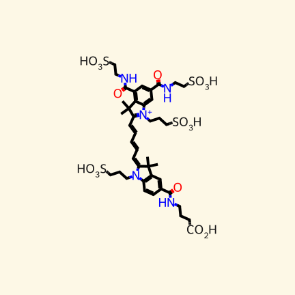 CC1(C)C(/C=C/C=C/C=C2/N(CCCS(=O)(=O)O)c3ccc(C(=O)NCCCC(=O)O)cc3C2(C)C)=[N+](CCCS(=O)(=O)O)c2cc(C(=O)NCCS(=O)(=O)O)cc(C(=O)NCCS(=O)(=O)O)c21